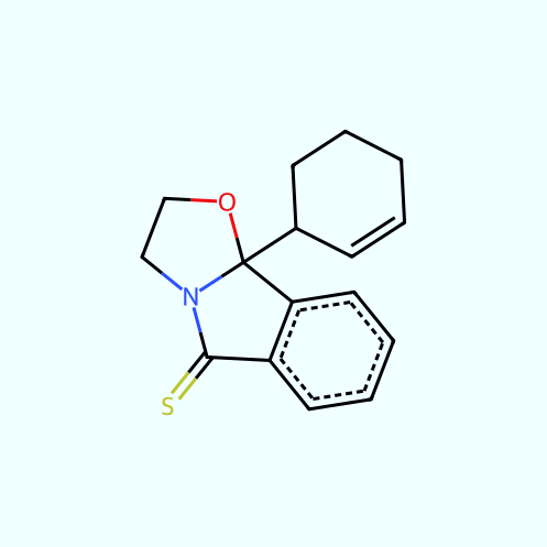 S=C1c2ccccc2C2(C3C=CCCC3)OCCN12